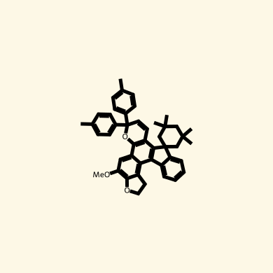 COc1cc2c3c(c4c(c2c2c1OCC2)-c1ccccc1C41CC(C)(C)CC(C)(C)C1)C=CC(c1ccc(C)cc1)(c1ccc(C)cc1)O3